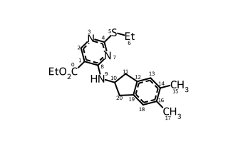 CCOC(=O)c1cnc(SCC)nc1NC1Cc2cc(C)c(C)cc2C1